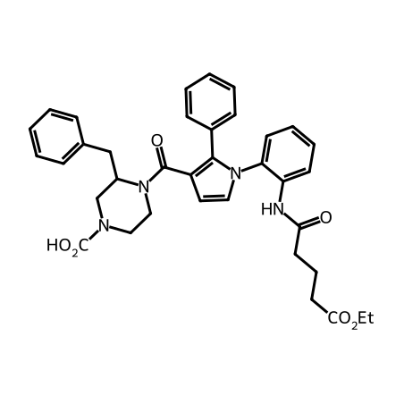 CCOC(=O)CCCC(=O)Nc1ccccc1-n1ccc(C(=O)N2CCN(C(=O)O)CC2Cc2ccccc2)c1-c1ccccc1